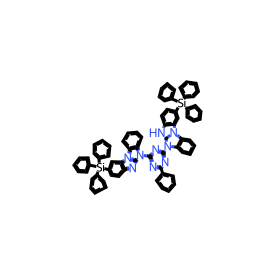 c1ccc(-c2nc(N3c4ccccc4N4c5cc([Si](c6ccccc6)(c6ccccc6)c6ccccc6)ccc5NC34)nc(-n3c4ccccc4n4c5cc([Si](c6ccccc6)(c6ccccc6)c6ccccc6)ccc5nc34)n2)cc1